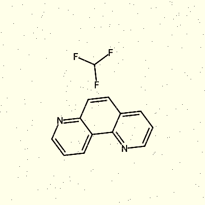 FC(F)F.c1cnc2c(c1)ccc1ncccc12